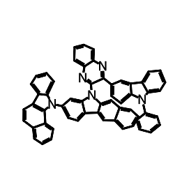 c1ccc(-n2c3ccccc3c3cc(-c4nc5ccccc5nc4-n4c5cc(-n6c7ccccc7c7ccc8ccccc8c76)ccc5c5cc6ccccc6cc54)ccc32)cc1